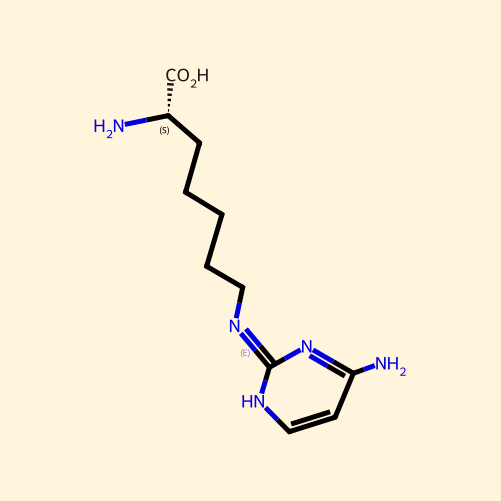 Nc1cc[nH]/c(=N/CCCCC[C@H](N)C(=O)O)n1